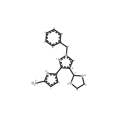 O=[N+]([O-])c1ccc(-c2nn(Cc3ccccc3)cc2C2OCCO2)o1